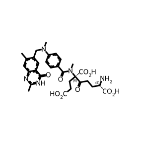 Cc1nc2cc(C)c(CN(C)c3ccc(C(=O)N(C)[C@@](CCC(=O)O)(C(=O)O)C(=O)CC[C@H](N)C(=O)O)cc3)cc2c(=O)[nH]1